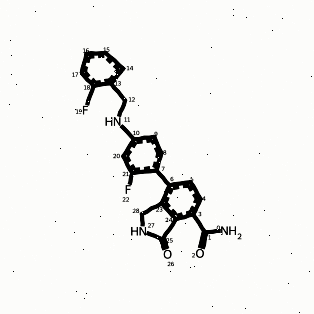 NC(=O)c1ccc(-c2ccc(NCc3ccccc3F)cc2F)c2c1C(=O)NC2